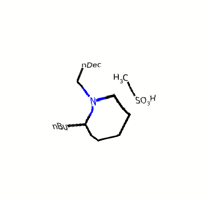 CCCCCCCCCCCN1CCCCC1CCCC.CS(=O)(=O)O